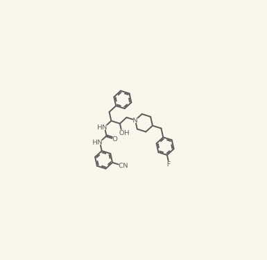 N#Cc1cccc(NC(=O)NC(Cc2ccccc2)C(O)CN2CCC(Cc3ccc(F)cc3)CC2)c1